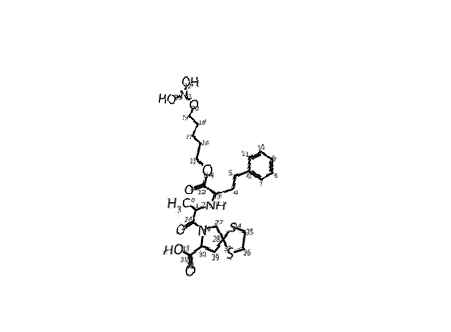 CC(NC(CCc1ccccc1)C(=O)OCCCCCON(O)O)C(=O)N1CC2(CC1C(=O)O)SCCS2